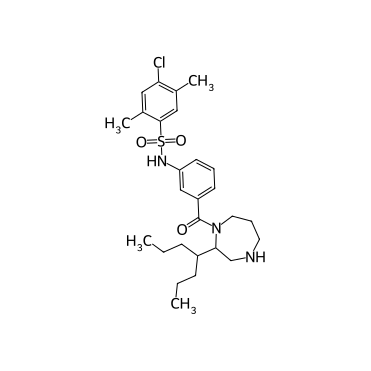 CCCC(CCC)C1CNCCCN1C(=O)c1cccc(NS(=O)(=O)c2cc(C)c(Cl)cc2C)c1